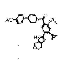 Cc1cc(C2CC2)c(-c2nc3c([nH]2)COCC3)cc1C(=O)N1CCC(c2ccc(C#N)cc2)CC1